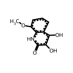 COc1cccc2c(O)c(O)c(=O)[nH]c12